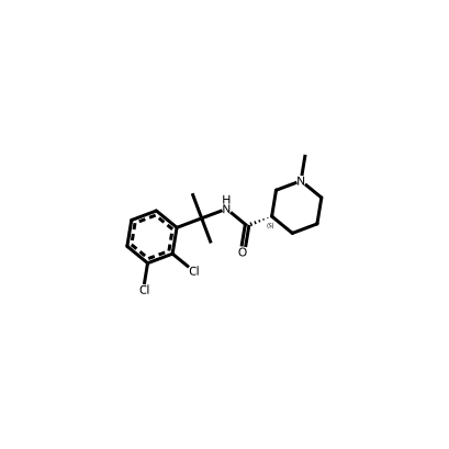 CN1CCC[C@H](C(=O)NC(C)(C)c2cccc(Cl)c2Cl)C1